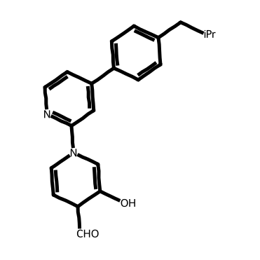 CC(C)Cc1ccc(-c2ccnc(N3C=CC(C=O)C(O)=C3)c2)cc1